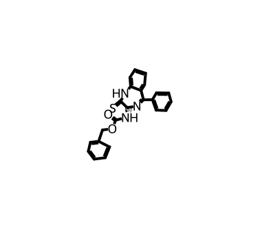 O=C(N[C@H]1N=C(c2ccccc2)c2ccccc2NC1=S)OCc1ccccc1